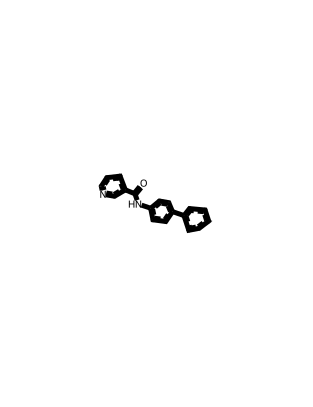 O=C(Nc1ccc(-c2cc[c]cc2)cc1)c1cccnc1